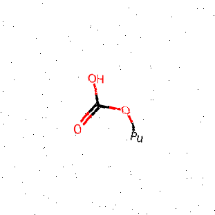 O=C(O)[O][Pu]